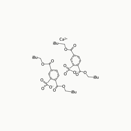 CCC(C)COC(=O)c1ccc(C(=O)OCC(C)CC)c(S(=O)(=O)[O-])c1.CCC(C)COC(=O)c1ccc(C(=O)OCC(C)CC)c(S(=O)(=O)[O-])c1.[Ca+2]